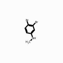 CNc1ccc(Br)c(Br)c1